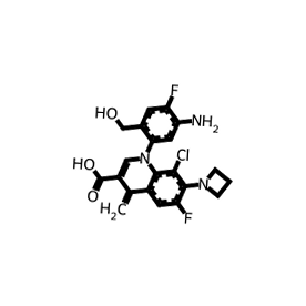 C=C1C(C(=O)O)=CN(c2cc(N)c(F)cc2CO)c2c1cc(F)c(N1CCC1)c2Cl